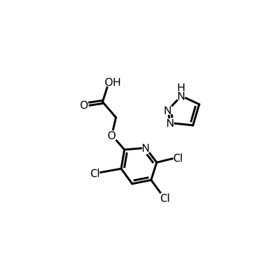 O=C(O)COc1nc(Cl)c(Cl)cc1Cl.c1c[nH]nn1